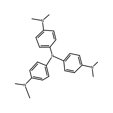 CN(C)c1ccc(N(c2ccc(N(C)C)cc2)c2ccc(N(C)C)cc2)cc1